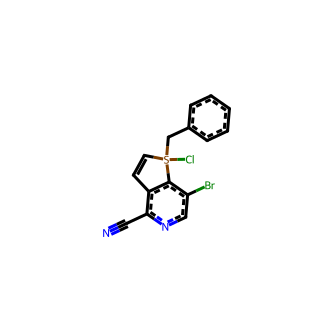 N#Cc1ncc(Br)c2c1C=CS2(Cl)Cc1ccccc1